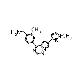 Cc1cc(-c2ncnn3cc(-c4ccn(C)n4)cc23)ccc1CN